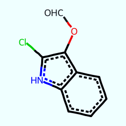 O=COc1c(Cl)[nH]c2ccccc12